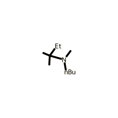 CCCCN(C)C(C)(C)CC